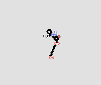 CCC1(NCc2cc(C(=O)OCCCCCCCCO)cc(Br)c2N)CCCCC1